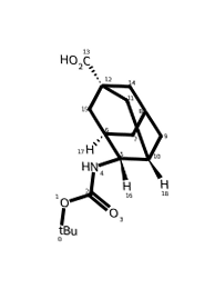 CC(C)(C)OC(=O)N[C@@H]1[C@@H]2CC3C[C@H]1C[C@](C(=O)O)(C3)C2